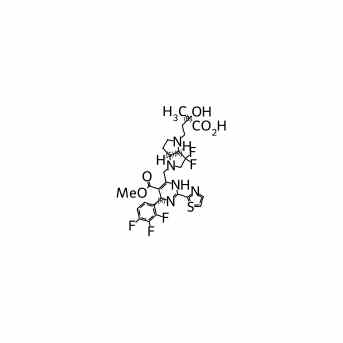 COC(=O)C1=C(CN2CC(F)(F)[C@H]3[C@@H]2CCN3CC[C@@](C)(O)C(=O)O)NC(c2nccs2)=N[C@H]1c1ccc(F)c(F)c1F